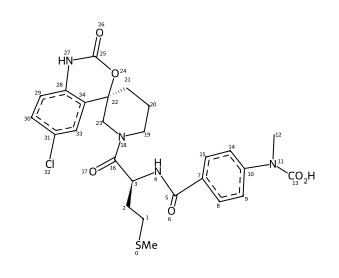 CSCC[C@H](NC(=O)c1ccc(N(C)C(=O)O)cc1)C(=O)N1CCC[C@@]2(C1)OC(=O)Nc1ccc(Cl)cc12